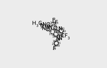 Cn1cnc(S(=O)(=O)N(C2CC(F)(F)C2)[C@H]2CCC3=Cc4c(cnn4-c4ccc(F)cc4)C[C@]3(C(=O)c3cc(C(F)(F)F)ccn3)C2)n1